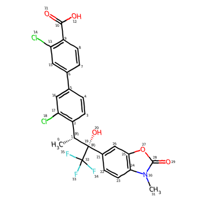 C[C@H](c1ccc(-c2ccc(C(=O)O)c(Cl)c2)cc1Cl)[C@@](O)(c1ccc2c(c1)oc(=O)n2C)C(F)(F)F